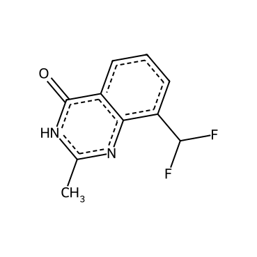 Cc1nc2c(C(F)F)cccc2c(=O)[nH]1